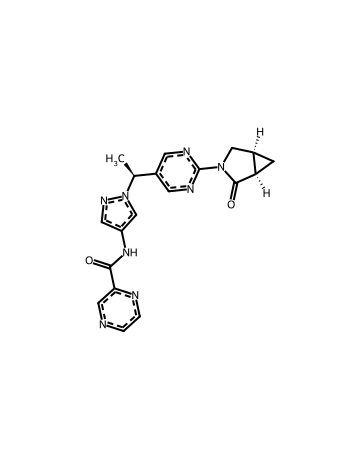 C[C@@H](c1cnc(N2C[C@H]3C[C@H]3C2=O)nc1)n1cc(NC(=O)c2cnccn2)cn1